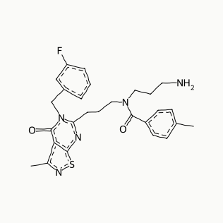 Cc1ccc(C(=O)N(CCCN)CCCc2nc3snc(C)c3c(=O)n2Cc2cccc(F)c2)cc1